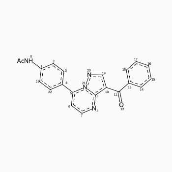 CC(=O)Nc1ccc(-c2ccnc3c(C(=O)c4ccccc4)cnn23)cc1